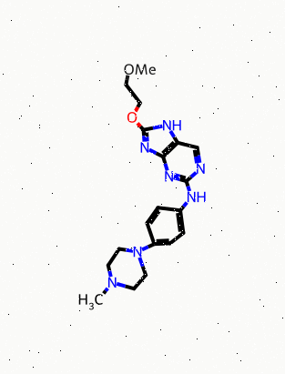 COCCOc1nc2nc(Nc3ccc(N4CCN(C)CC4)cc3)ncc2[nH]1